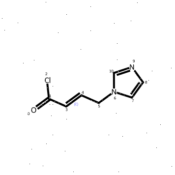 O=C(Cl)/C=C/Cn1ccnc1